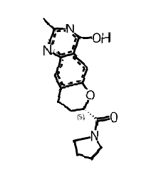 Cc1nc(O)c2cc3c(cc2n1)CC[C@@H](C(=O)N1CCCC1)O3